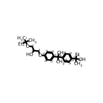 CCC(C)(C)OCC(O)COc1ccc(C(C)(C)c2ccc(C(C)(O)CC)cc2)cc1